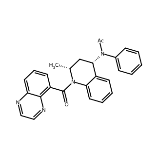 CC(=O)N(c1ccccc1)[C@H]1C[C@@H](C)N(C(=O)c2cccc3nccnc23)c2ccccc21